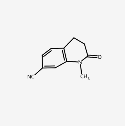 CN1C(=O)CCc2ccc(C#N)cc21